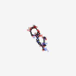 CO[C@H]1/C=C/O[C@@]2(C)Oc3c(C)c(O)c4c(=O)c(c5oc6cc(N7CCC([N+](C)(C)Cc8ccc(NC(=O)[C@H](CCCNC(N)=O)NC(=O)C9(C(=O)NCCCCCN%10C(=O)C=CC%10=O)CCC9)cc8)C(F)C7)cc(O)c6nc-5c4c3C2=O)NC(=O)/C(C)=C\C=C\[C@H](C)[C@H](O)[C@@H](C)[C@@H](O)[C@@H](C)[C@H](OC(C)=O)[C@@H]1C